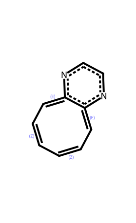 C1=C\C=c2\nccn\c2=C\C=C/1